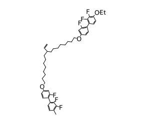 C=CC(CCCCCCCCOc1ccc(-c2ccc(C)c(F)c2F)c(F)c1)CCCCCCCCOc1ccc(-c2ccc(OCC)c(F)c2F)c(F)c1